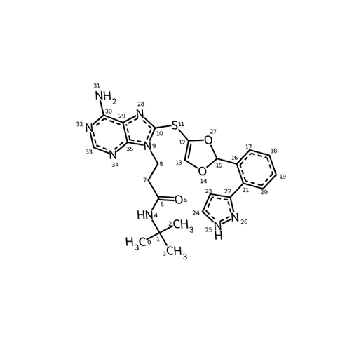 CC(C)(C)NC(=O)CCn1c(SC2=COC(c3ccccc3-c3cc[nH]n3)O2)nc2c(N)ncnc21